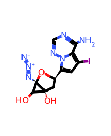 [N-]=[N+]=N[C@]12O[C@@H](c3cc(I)c4c(N)ncnn34)C[C@@]1(O)C2O